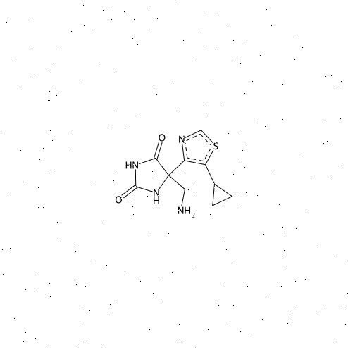 NCC1(c2ncsc2C2CC2)NC(=O)NC1=O